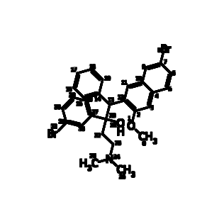 COc1cc2ccc(Br)cc2cc1C(c1ccccc1)C(O)(CCN(C)C)c1cccc(Br)c1